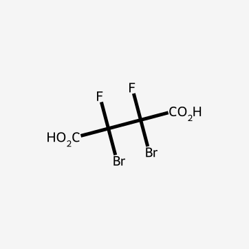 O=C(O)C(F)(Br)C(F)(Br)C(=O)O